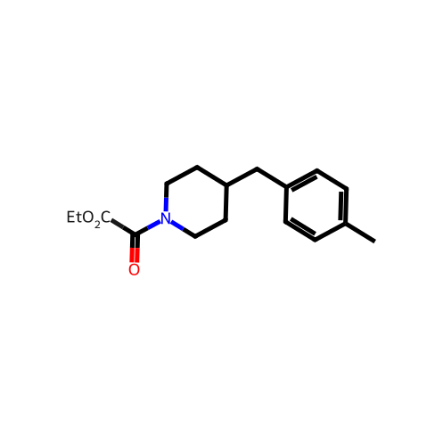 CCOC(=O)C(=O)N1CCC(Cc2ccc(C)cc2)CC1